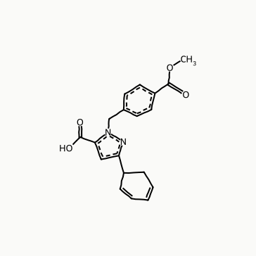 COC(=O)c1ccc(Cn2nc(C3C=CC=CC3)cc2C(=O)O)cc1